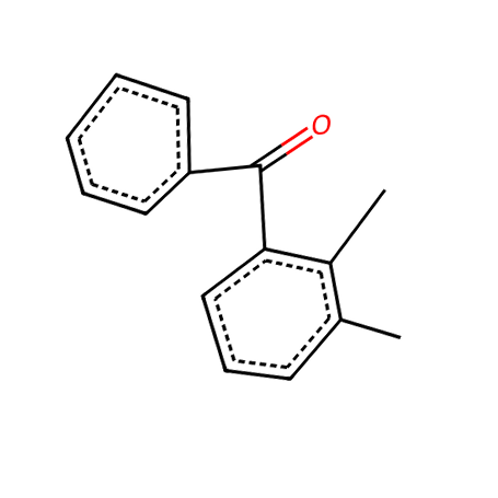 Cc1cccc(C(=O)c2ccccc2)c1C